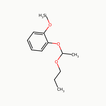 CCCOC(C)Oc1ccccc1O[SiH3]